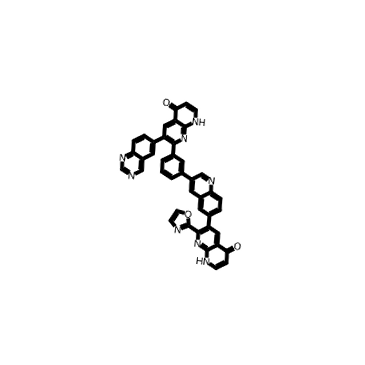 O=c1cc[nH]c2nc(-c3cccc(-c4cnc5ccc(-c6cc7c(=O)cc[nH]c7nc6-c6ncco6)cc5c4)c3)c(-c3ccc4ncncc4c3)cc12